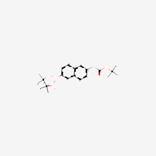 CC(C)(C)OC(=O)Nc1ccc2cc(B3OC(C)(C)C(C)(C)O3)ccc2c1